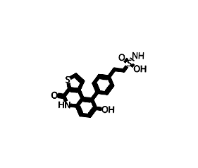 N=S(=O)(O)CCc1ccc(-c2c(O)ccc3[nH]c(=O)c4sccc4c23)cc1